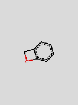 c1ccc2c(c1)CO2